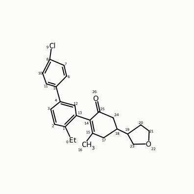 CCc1ccc(-c2ccc(Cl)cc2)cc1C1=C(C)CC(C2CCOC2)CC1=O